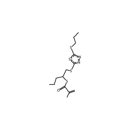 C=C(C)C(=O)SC(CCC)CSc1nnc(SCCC)s1